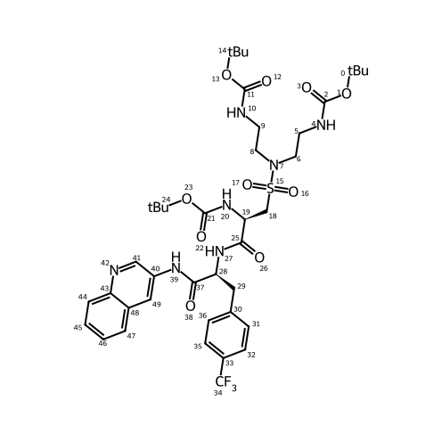 CC(C)(C)OC(=O)NCCN(CCNC(=O)OC(C)(C)C)S(=O)(=O)C[C@H](NC(=O)OC(C)(C)C)C(=O)N[C@@H](Cc1ccc(C(F)(F)F)cc1)C(=O)Nc1cnc2ccccc2c1